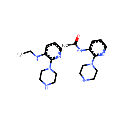 FC(F)(F)CNc1cccnc1N1CCNCC1.O=C(Nc1cccnc1N1CCNCC1)C(F)(F)F